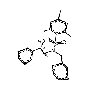 Cc1cc(C)c(S(=O)(=O)N(Cc2ccccc2)[C@H](C)[C@@H](O)c2ccccc2)c(C)c1